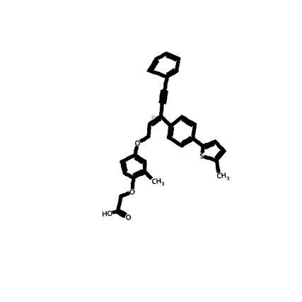 Cc1ccc(-c2ccc(/C(C#Cc3ccccc3)=C\COc3ccc(OCC(=O)O)c(C)c3)cc2)s1